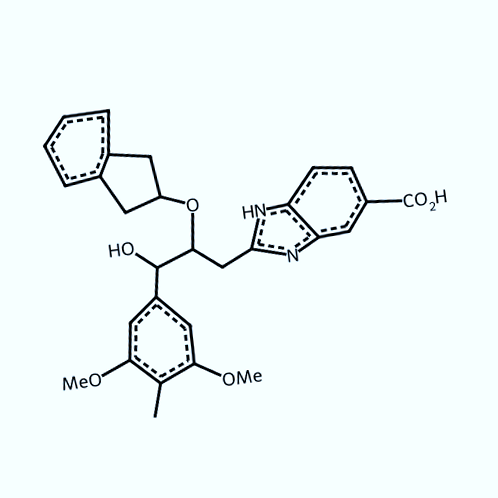 COc1cc(C(O)C(Cc2nc3cc(C(=O)O)ccc3[nH]2)OC2Cc3ccccc3C2)cc(OC)c1C